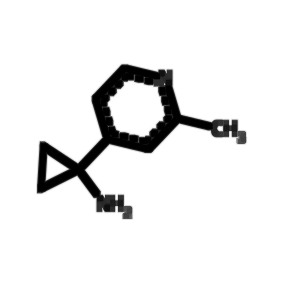 Cc1cc(C2(N)CC2)ccn1